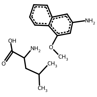 CC(C)CC(N)C(=O)O.COc1cc(N)cc2ccccc12